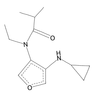 CCN(C(=O)C(C)C)c1cocc1NC1CC1